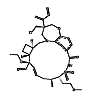 C=CC(=C)[C@]1(CCl)COc2ccc3cc2N(C[C@@H]2CC[C@H]2[C@](C=O)(OCC)/C=C/C[C@H](C)[C@@H](CCOC)S(=O)(=O)NC3=O)C1